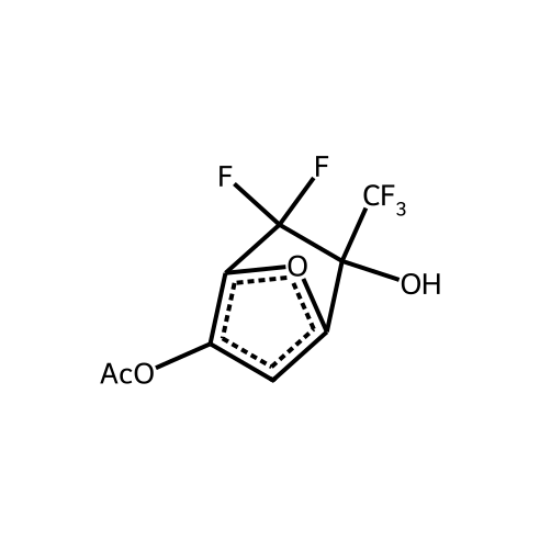 CC(=O)Oc1cc2oc1C(F)(F)C2(O)C(F)(F)F